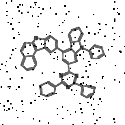 c1ccc(-c2nc(-c3ccccc3)nc(-c3cc(-c4ccc5oc6ccc7ccccc7c6c5c4)c4c5ccccc5n(-c5ccccc5)c4c3)n2)cc1